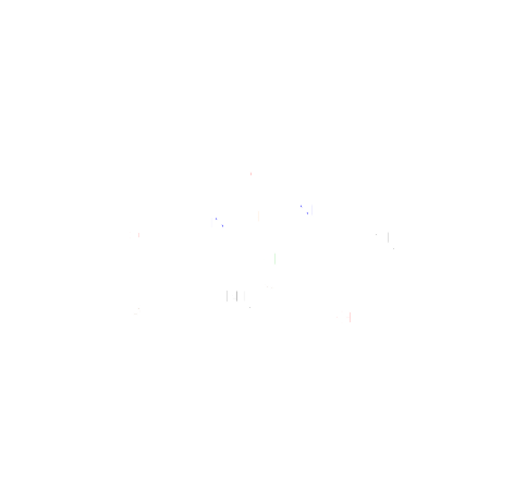 BC(NP(=O)(Cl)NC(B)C(O)Br)C(O)Br